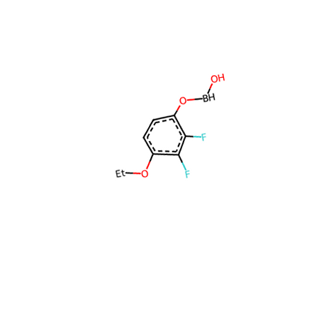 CCOc1ccc(OBO)c(F)c1F